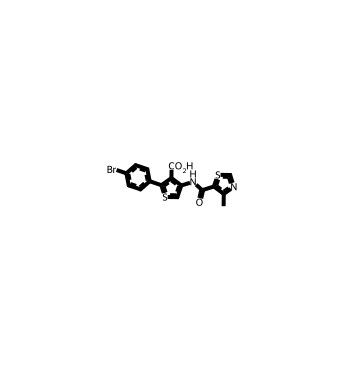 Cc1ncsc1C(=O)Nc1csc(-c2ccc(Br)cc2)c1C(=O)O